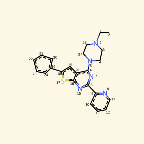 CCN1CCN(c2nc(-c3ccccn3)nc3sc(-c4ccccc4)cc23)CC1